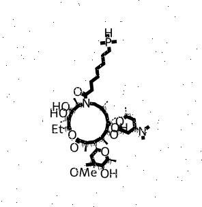 CC[C@H]1OC(=O)[C@H](C)[C@@H](C2C[C@@](C)(OC)[C@@H](O)[C@H](C)O2)[C@H](C)[C@@H](O[C@H]2C[C@@H](N(C)C)C[C@@H](C)O2)[C@](C)(O)C[C@@H](C)CN(C(=O)CCCCCCC[PH](C)(C)C)[C@H](C)[C@@H](O)[C@]1(C)O